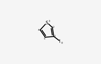 Ic1[c]scc1